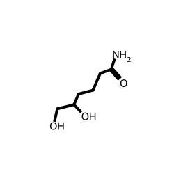 NC(=O)CCCC(O)CO